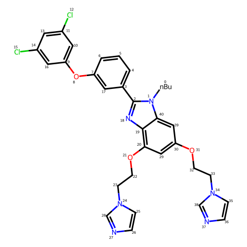 CCCCn1c(-c2cccc(Oc3cc(Cl)cc(Cl)c3)c2)nc2c(OCCn3ccnc3)cc(OCCn3ccnc3)cc21